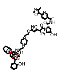 Cc1ncoc1-c1ccc([C@H](C)NC(=O)[C@@H]2C[C@@H](O)CN2C(=O)C(c2cc(OCCN3CCN(CCOc4cc(N5C6CCC5CN(c5cc(-c7ccccc7O)nnc5N)C6)ccn4)CC3)no2)C(C)C)cn1